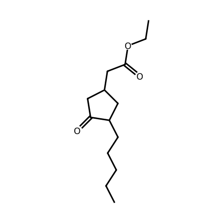 CCCCCC1CC(CC(=O)OCC)CC1=O